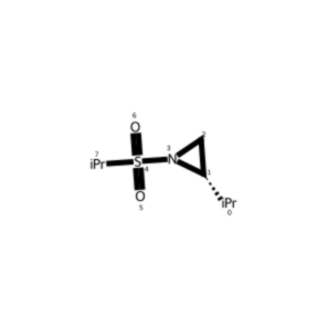 CC(C)[C@H]1CN1S(=O)(=O)C(C)C